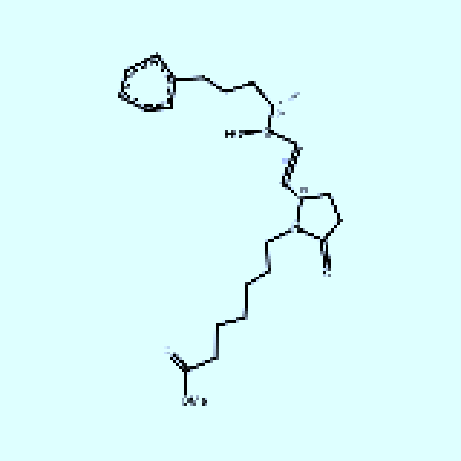 COC(=O)CCCCCCN1C(=O)CC[C@@H]1/C=C/[C@@H](O)[C@@H](C)CCCc1ccccc1